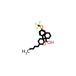 CCCCCC1CCC(c2ccc(OC(F)(F)F)cc2)(C2(C(=O)O)CCCCC2)CC1